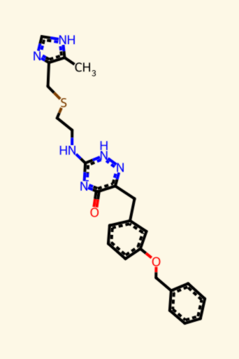 Cc1[nH]cnc1CSCCNc1nc(=O)c(Cc2cccc(OCc3ccccc3)c2)n[nH]1